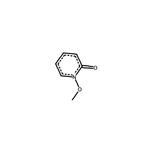 COn1cc[c]cc1=O